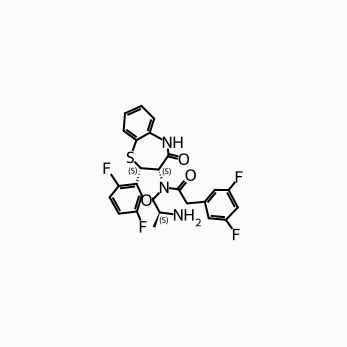 C[C@H](N)C(=O)N(C(=O)Cc1cc(F)cc(F)c1)[C@H]1C(=O)Nc2ccccc2S[C@H]1c1cc(F)ccc1F